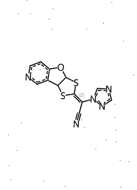 N#C/C(=C1/SC2Oc3ccncc3C2S1)n1cncn1